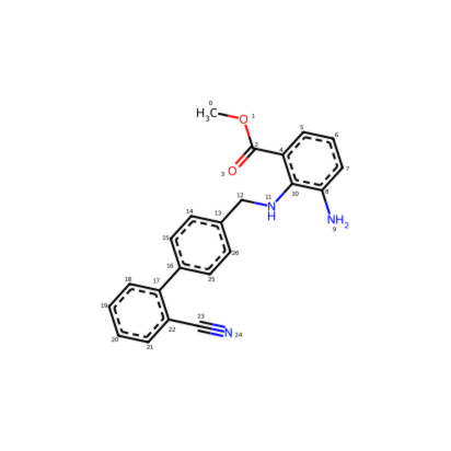 COC(=O)c1cccc(N)c1NCc1ccc(-c2ccccc2C#N)cc1